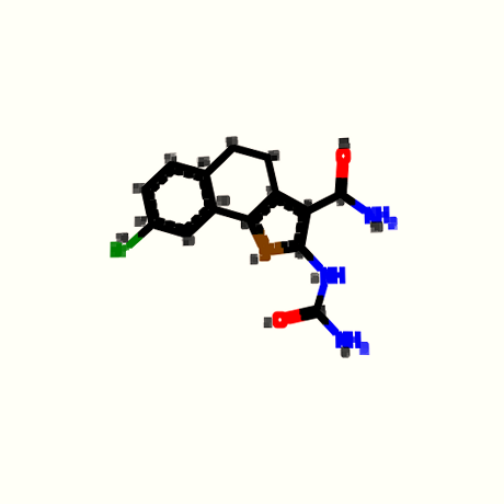 NC(=O)Nc1sc2c(c1C(N)=O)CCc1ccc(Br)cc1-2